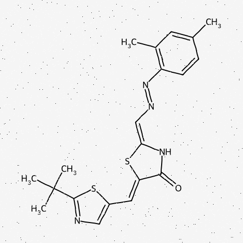 Cc1ccc(N=NC=c2[nH]c(=O)c(=Cc3cnc(C(C)(C)C)s3)s2)c(C)c1